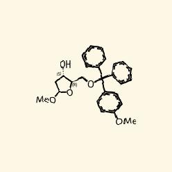 COc1ccc(C(OC[C@H]2OC(OC)C[C@@H]2O)(c2ccccc2)c2ccccc2)cc1